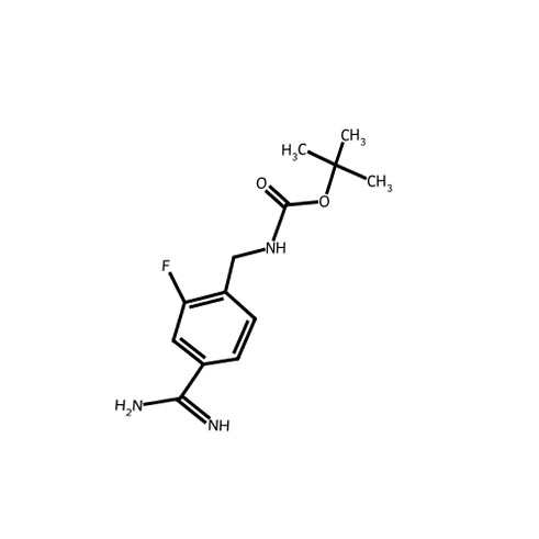 CC(C)(C)OC(=O)NCc1ccc(C(=N)N)cc1F